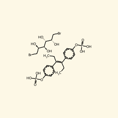 CC/C(=C(/CC)c1ccc(OP(=O)(O)O)cc1)c1ccc(OP(=O)(O)O)cc1.O[C@H]([C@H](O)[C@@H](O)CBr)[C@H](O)CBr